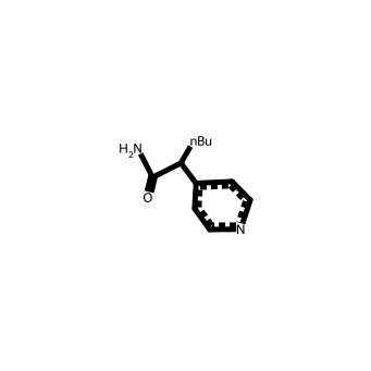 CCCCC(C(N)=O)c1ccncc1